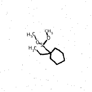 CCC1([Si](OC)OC)CCCCC1